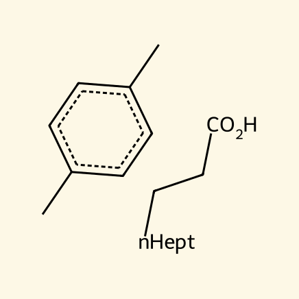 CCCCCCCCCC(=O)O.Cc1ccc(C)cc1